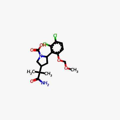 COCOc1ccc(Cl)c(Cl)c1C1CC(C(C)(C)C(N)=O)CN1C(=O)O